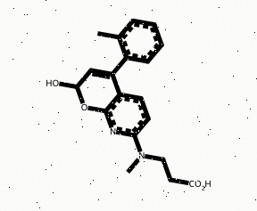 Cc1ccccc1C1=CC(O)Oc2nc(N(C)CCC(=O)O)ccc21